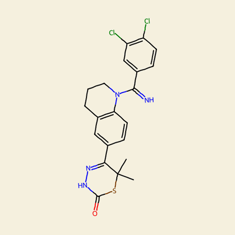 CC1(C)SC(=O)NN=C1c1ccc2c(c1)CCCN2C(=N)c1ccc(Cl)c(Cl)c1